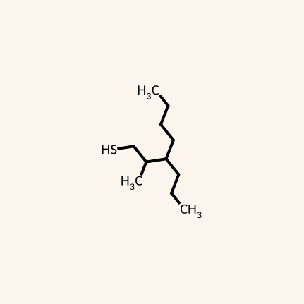 CCCCC(CCC)C(C)CS